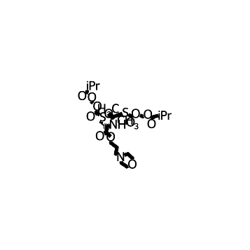 CC(C)C(=O)OCOC(=O)SC[C@H](NC(=O)C(C)(C)SC(=O)OCOC(=O)C(C)C)C(=O)OCCCN1CCOCC1